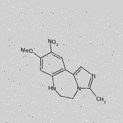 COc1cc2c(cc1[N+](=O)[O-])-c1cnc(C)n1CCN2